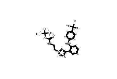 CC(C)(C)OC(=O)NCCn1nnc(-c2ccccc2Nc2ccc(C(F)(F)F)cc2)n1